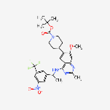 COc1cc2nc(C)nc(NC(C)c3cc([N+](=O)[O-])cc(C(F)(F)F)c3)c2cc1C1CCN(C(=O)OC(C)(C)C)CC1